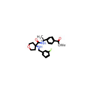 COC(=O)c1ccc([C@H](C)NC(=O)C2(NCc3cccc(F)c3)CCOCC2)cc1